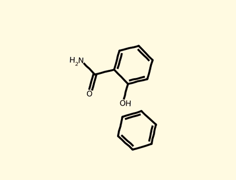 NC(=O)c1ccccc1O.c1ccccc1